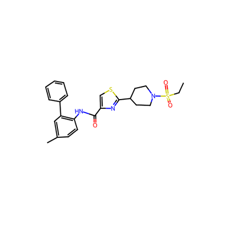 CCS(=O)(=O)N1CCC(c2nc(C(=O)Nc3ccc(C)cc3-c3ccccc3)cs2)CC1